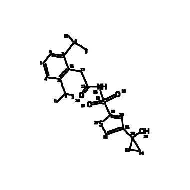 CC(C)c1cccc(C(C)C)c1CC(=O)NS(=O)(=O)c1cc(C2(O)CC2)cs1